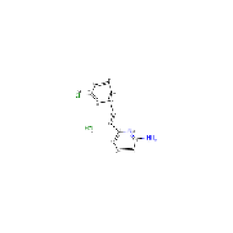 Cl.Nc1cccc(C=Cc2cccc(Cl)c2)n1